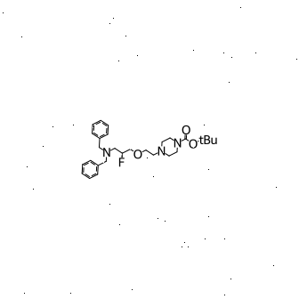 CC(C)(C)OC(=O)N1CCN(CCOC[C@@H](F)CN(Cc2ccccc2)Cc2ccccc2)CC1